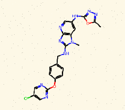 Cc1nnc(Nc2cnc3nc(NCc4ccc(Oc5ncc(Cl)cn5)cc4)n(C)c3c2)o1